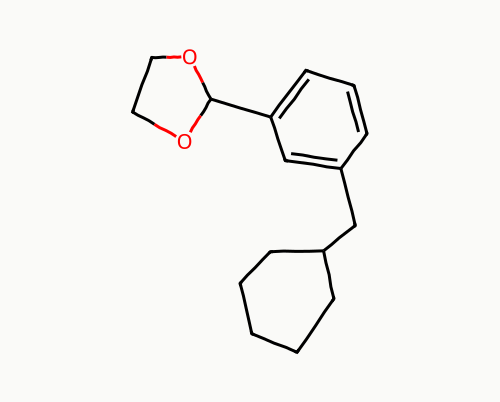 c1cc(CC2CCCCC2)cc(C2OCCO2)c1